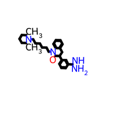 C[C@@H]1CCC[C@H](C)N1CCCCCCN1C(=O)C(c2cccc(C(=N)N)c2)Cc2ccccc21